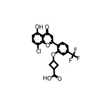 O=C(O)C1CC(Oc2cc(C(F)(F)F)ccc2-c2cc(=O)c3c(O)ccc(Cl)c3o2)C1